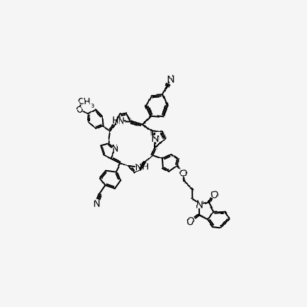 COc1ccc(-c2c3nc(c(-c4ccc(C#N)cc4)c4ccc([nH]4)c(-c4ccc(OCCCN5C(=O)c6ccccc6C5=O)cc4)c4nc(c(-c5ccc(C#N)cc5)c5ccc2[nH]5)C=C4)C=C3)cc1